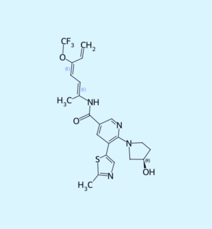 C=C/C(=C\C=C(/C)NC(=O)c1cnc(N2CC[C@@H](O)C2)c(-c2cnc(C)s2)c1)OC(F)(F)F